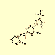 Cc1nc(C(F)(F)F)cn1-c1ccc(NCc2ccccc2F)cc1F